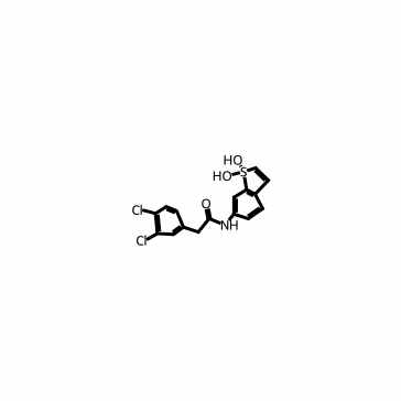 O=C(Cc1ccc(Cl)c(Cl)c1)Nc1ccc2c(c1)S(O)(O)C=C2